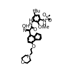 COc1c(NC(=O)/C(=N\O)c2ccc(OCCN3CCOCC3)c3ccccc23)cc(C(C)(C)C)cc1NS(C)(=O)=O